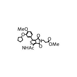 COC(=O)CCN1C(=O)c2c(NC(C)=O)sc(-c3ccc(OC)c(OC4CCCC4)c3)c2C1=O